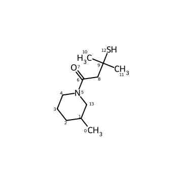 CC1CCCN(C(=O)CC(C)(C)S)C1